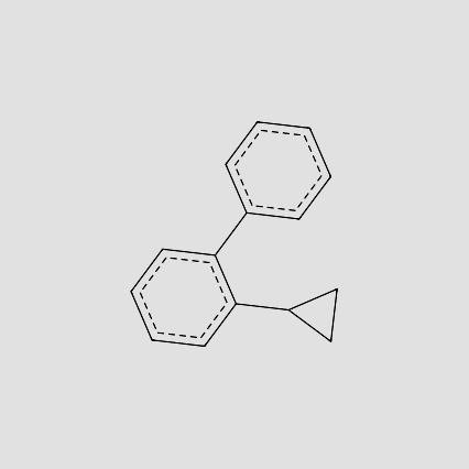 c1ccc(-c2ccccc2C2CC2)cc1